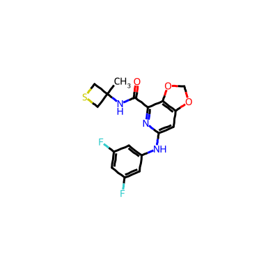 CC1(NC(=O)c2nc(Nc3cc(F)cc(F)c3)cc3c2OCO3)CSC1